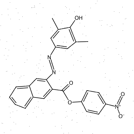 Cc1cc(/N=N/c2cc3ccccc3cc2C(=O)Oc2ccc([N+](=O)[O-])cc2)cc(C)c1O